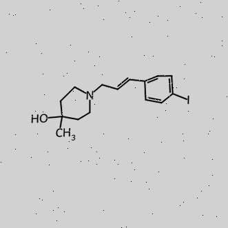 CC1(O)CCN(CC=Cc2ccc(I)cc2)CC1